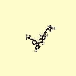 O=C(Nc1ccc(Cl)cc1N1CCN(CCC(F)(F)F)CC1)c1ccc(CNCc2nn[nH]n2)c(F)c1F